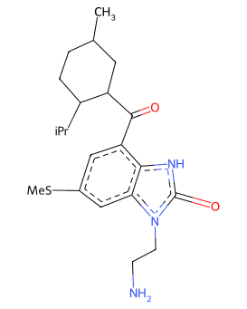 CSc1cc(C(=O)C2CC(C)CCC2C(C)C)c2[nH]c(=O)n(CCN)c2c1